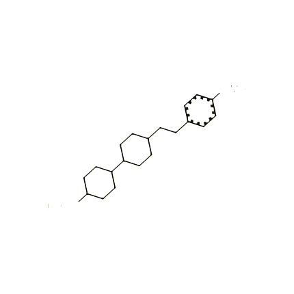 CCCCCC1CCC(C2CCC(CCc3ccc(OC)cc3)CC2)CC1